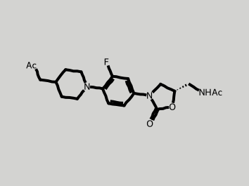 CC(=O)CC1CCN(c2ccc(N3C[C@H](CNC(C)=O)OC3=O)cc2F)CC1